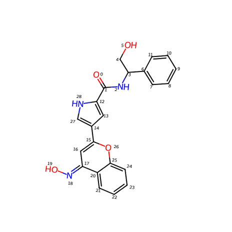 O=C(NC(CO)c1ccccc1)c1cc(-c2c/c(=N\O)c3ccccc3o2)c[nH]1